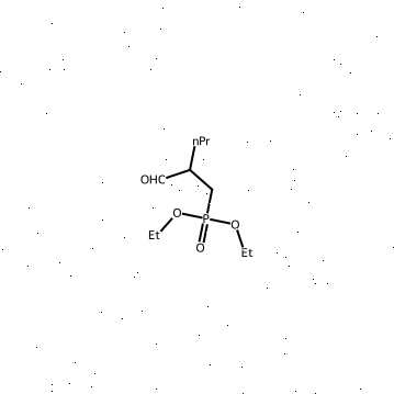 CCCC(C=O)CP(=O)(OCC)OCC